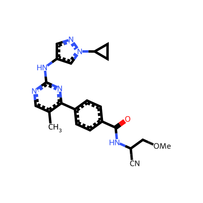 COCC(C#N)NC(=O)c1ccc(-c2nc(Nc3cnn(C4CC4)c3)ncc2C)cc1